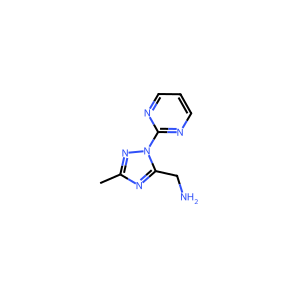 Cc1nc(CN)n(-c2ncccn2)n1